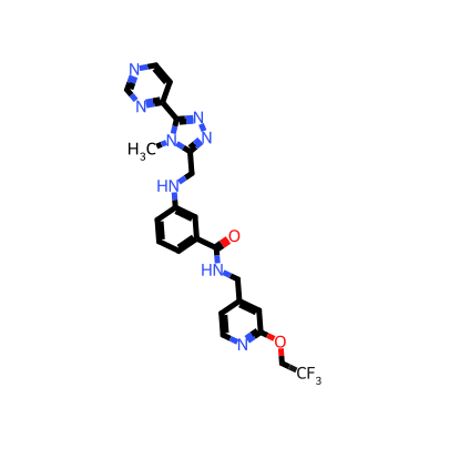 Cn1c(CNc2cccc(C(=O)NCc3ccnc(OCC(F)(F)F)c3)c2)nnc1-c1ccncn1